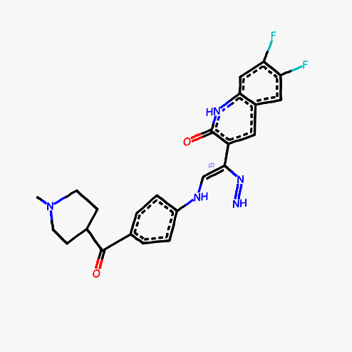 CN1CCC(C(=O)c2ccc(N/C=C(\N=N)c3cc4cc(F)c(F)cc4[nH]c3=O)cc2)CC1